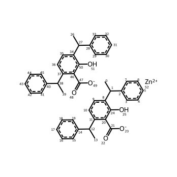 CC(c1ccccc1)c1ccc(C(C)c2ccccc2)c(C(=O)[O-])c1O.CC(c1ccccc1)c1ccc(C(C)c2ccccc2)c(C(=O)[O-])c1O.[Zn+2]